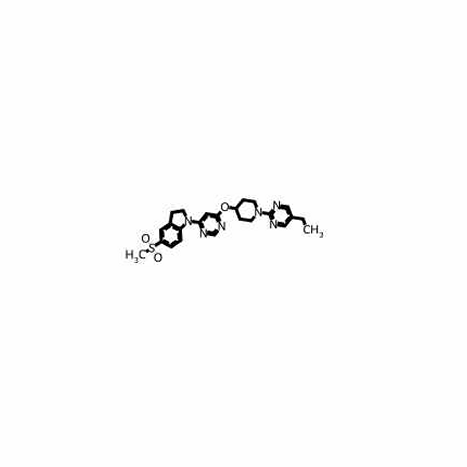 CCc1cnc(N2CCC(Oc3cc(N4CCc5cc(S(C)(=O)=O)ccc54)ncn3)CC2)nc1